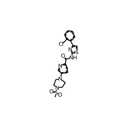 CS(=O)(=O)N1CCN(c2ccc(C(=O)Nc3nc(-c4ccccc4Cl)cs3)nc2)CC1